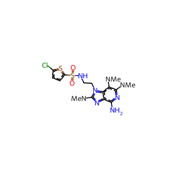 CNc1nc(N)c2nc(NC)n(CCNS(=O)(=O)c3ccc(Cl)s3)c2c1NC